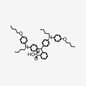 CCCCOc1ccc(N(CCCC)c2ccc(C(c3ccc(N(CCCC)c4ccc(OCCCC)cc4)cc3)c3ccccc3S(=O)(=O)O)cc2)cc1